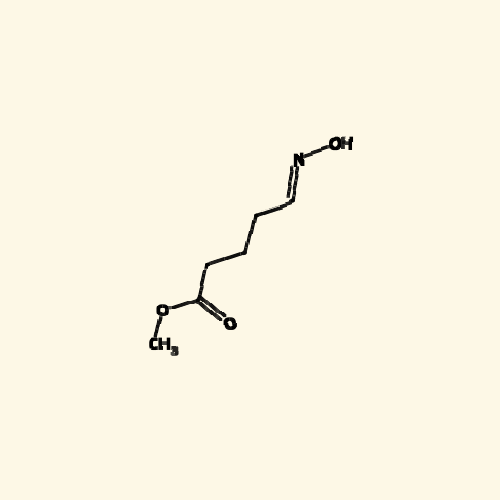 COC(=O)CCCC=NO